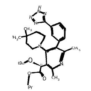 Cc1nc(C)c([C@H](OC(C)(C)C)C(=O)OC(C)C)c(N2CCC(C)(C)CC2)c1-c1cccc(-c2nn[nH]n2)c1